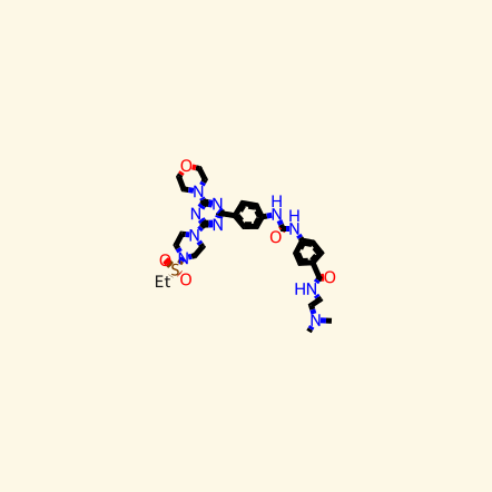 CCS(=O)(=O)N1CCN(c2nc(-c3ccc(NC(=O)Nc4ccc(C(=O)NCCN(C)C)cc4)cc3)nc(N3CCOCC3)n2)CC1